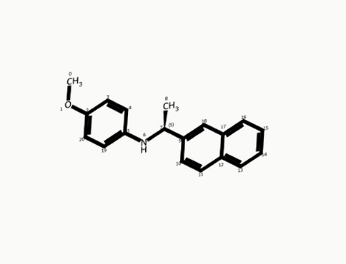 COc1ccc(N[C@@H](C)c2ccc3ccccc3c2)cc1